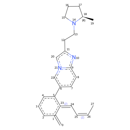 C=c1cccc(-c2ccc3nc(CCN4CCC[C@H]4C)cn3c2)/c1=C/C=C\C